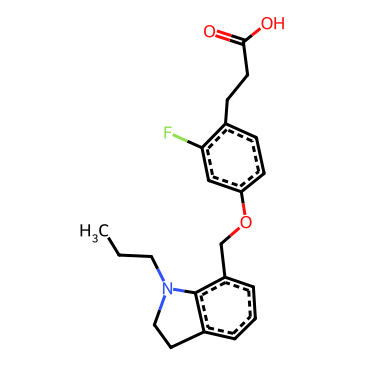 CCCN1CCc2cccc(COc3ccc(CCC(=O)O)c(F)c3)c21